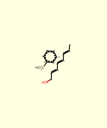 CC=CC=CC=CCO.O=C(O)c1ccccc1